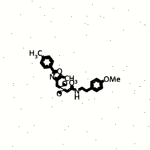 COc1ccc(CCNC(=O)CS(=O)(=O)Cc2nc(-c3ccc(C)cc3)oc2C)cc1